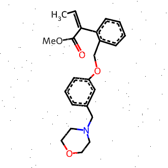 CC=C(C(=O)OC)c1ccccc1COc1cccc(CN2CCOCC2)c1